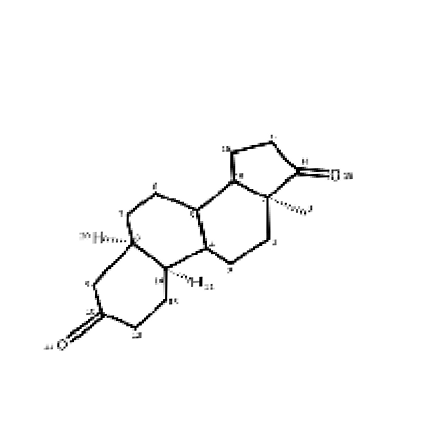 C[C@]12CCC3C(CC[C@@H]4CC(=O)CC[C@H]34)C1CCC2=O